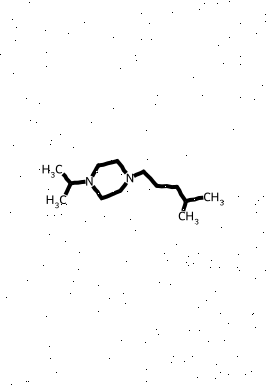 CC(C)CCCN1CCN(C(C)C)CC1